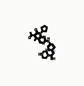 CC(=O)c1c(C)c2cnc(NC3=CN/C(=C\C(=N)N4CCNCC4)C=C3)nc2n(C2CCCC2)c1=O